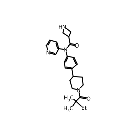 CCC(C)(C)C(=O)N1CCC(c2ccc(N(C(=O)C3CNC3)c3cccnc3)cc2)CC1